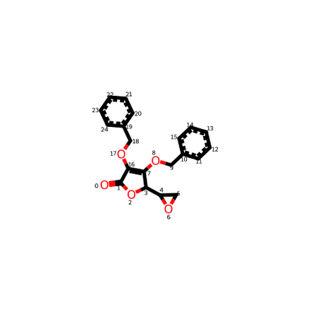 O=C1OC(C2CO2)C(OCc2ccccc2)=C1OCc1ccccc1